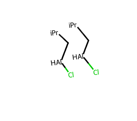 CC(C)[CH2][AlH][Cl].CC(C)[CH2][AlH][Cl]